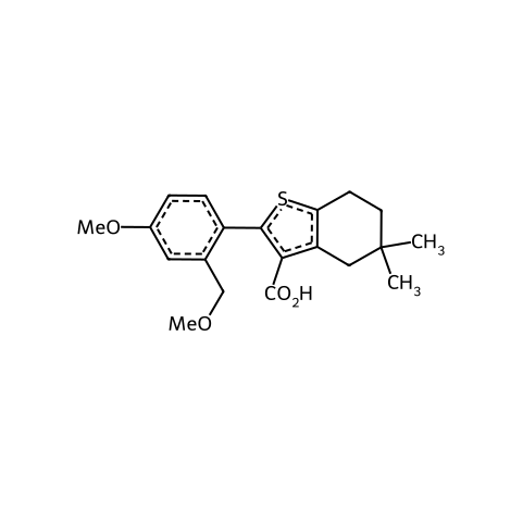 COCc1cc(OC)ccc1-c1sc2c(c1C(=O)O)CC(C)(C)CC2